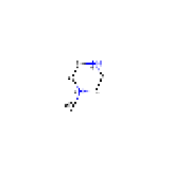 C[CH]CN1CCNCC1